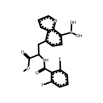 COC(=O)C(Cc1ccc(B(O)O)c2ncccc12)NC(=O)c1c(F)cccc1F